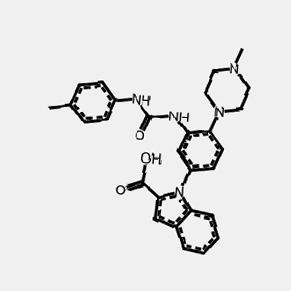 Cc1ccc(NC(=O)Nc2cc(-n3c(C(=O)O)cc4ccccc43)ccc2N2CCN(C)CC2)cc1